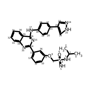 CC(C)NS(=N)(=O)COc1cccc(-c2nc(Nc3ccc(-c4cn[nH]c4)cc3)c3ccccc3n2)c1